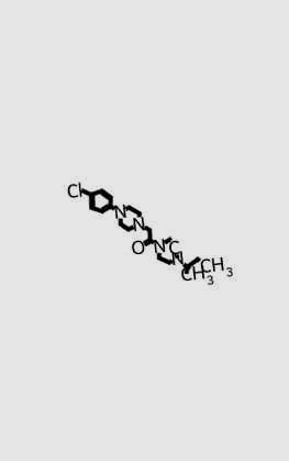 CCC(C)N1CCN(C(=O)CN2CCN(c3ccc(Cl)cc3)CC2)CC1